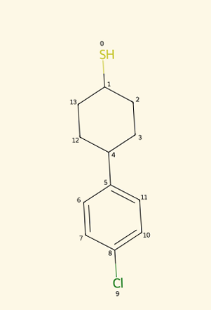 SC1CCC(c2ccc(Cl)cc2)CC1